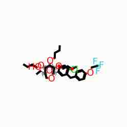 CCCCO[C@@H]1[C@@H](OCCCC)[C@@]2(c3ccc(Cl)c(Cc4ccc(OCC(F)(F)F)cc4)c3)OC[C@](C(C)O)(O2)[C@H]1OCCCC